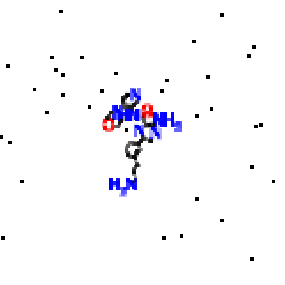 NCCCc1cccc(-c2cnc(N)c(C(=O)Nc3cnccc3N3CCOCC3)n2)c1